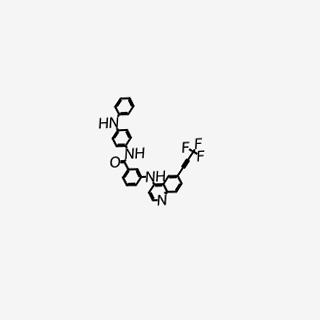 O=C(Nc1ccc(Nc2ccccc2)cc1)c1cccc(Nc2ccnc3ccc(C#CC(F)(F)F)cc23)c1